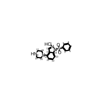 Cl.O=S(=O)(c1ccccc1)n1ncc2c(N3CCNCC3)cccc21